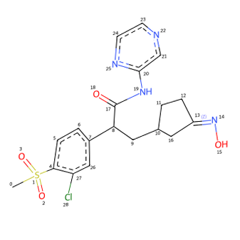 CS(=O)(=O)c1ccc(C(CC2CC/C(=N/O)C2)C(=O)Nc2cnccn2)cc1Cl